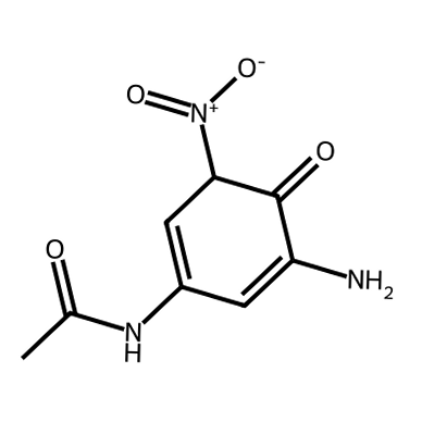 CC(=O)NC1=CC([N+](=O)[O-])C(=O)C(N)=C1